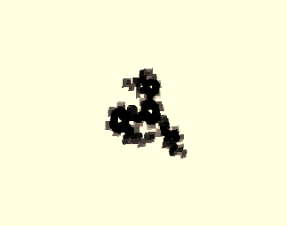 CC(N)c1cccc(-c2cc(COc3ccccc3CC(=O)O)cc(OCc3ccn(C)n3)c2)c1F